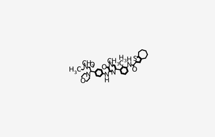 CCN(C)C(=O)C(c1ccc(Nc2nc(-c3cccc(NC(=O)c4cc5c(s4)CCCCC5)c3C)cn(C)c2=O)cc1)N1CCOCC1